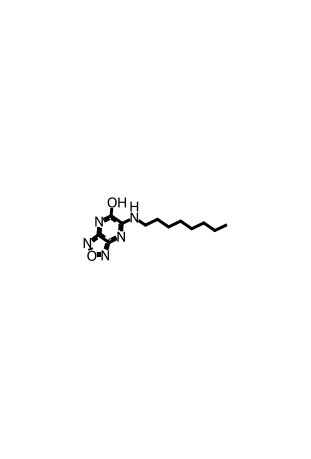 CCCCCCCCNc1nc2nonc2nc1O